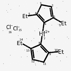 CCC1=CCC(CC)=[C]1[Hf+2][C]1=C(CC)CC=C1CC.[Cl-].[Cl-]